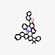 CC1(C)c2ccccc2-c2c(-c3ccccc3N(c3ccccc3-c3cccc4oc5c6ccccc6ccc5c34)c3cccc4c3ccc3ccccc34)cccc21